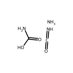 N.N=C=O.NC(=O)O